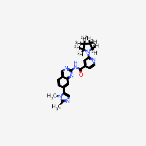 [2H]C1([2H])N(c2cc(C(=O)Nc3ncc4ccc(-c5cnc(C)n5C)cc4n3)ccn2)C([2H])([2H])C([2H])([2H])C1([2H])[2H]